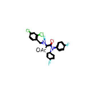 CC(=O)OC(C(=O)N(c1ccc(F)cc1)c1ccc(F)cc1)N(F)Cc1ccc(Cl)cc1Cl